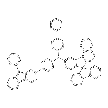 c1ccc(-c2ccc(N(c3ccc(-c4ccc5c6ccccc6n(-c6ccccc6)c5c4)cc3)c3ccc4c(c3)-c3c(ccc5ccccc35)C43c4ccccc4-c4ccccc43)cc2)cc1